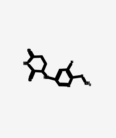 CSc1ncc(NC2CCC(=O)NC2=O)cc1F